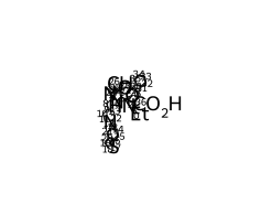 CCC(NC(=O)c1nc(CC2CCN(c3ccc4sccc4c3)CC2)nc(C)c1OCc1ccccc1)C(=O)O